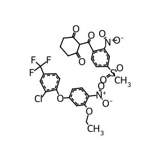 CCOc1cc(Oc2ccc(C(F)(F)F)cc2Cl)ccc1[N+](=O)[O-].CS(=O)(=O)c1ccc(C(=O)C2C(=O)CCCC2=O)c([N+](=O)[O-])c1